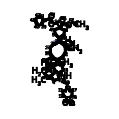 C=C(C)[C@@H]1CC[C@]2(NCCN3CCS(=O)(=O)CC3)CC[C@]3(C)[C@H](CCC4CC/C=C(/C5=CC[C@@](COC(=O)c6ccccc6)(C(=O)OCC)CC5)C(C)(C)C(C)CC[C@]43C)C12